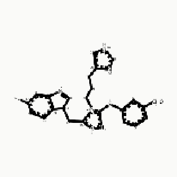 O=Cc1cccc(Sc2nnc(CC3C=Nc4cc(F)ccc43)n2CCCc2c[nH]cn2)c1